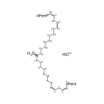 CCCCC/C=C\C/C=C\CCCCCCCCN(C)CCCCCCCC/C=C\C/C=C\CCCCC.Cl